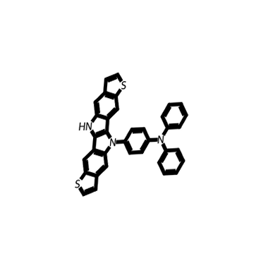 c1ccc(N(c2ccccc2)c2ccc(-n3c4cc5ccsc5cc4c4[nH]c5cc6ccsc6cc5c43)cc2)cc1